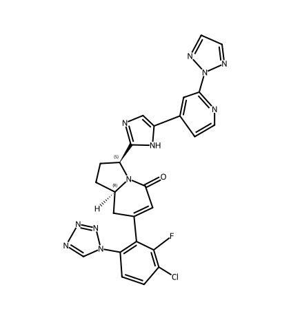 O=C1C=C(c2c(-n3cnnn3)ccc(Cl)c2F)C[C@H]2CC[C@@H](c3ncc(-c4ccnc(-n5nccn5)c4)[nH]3)N12